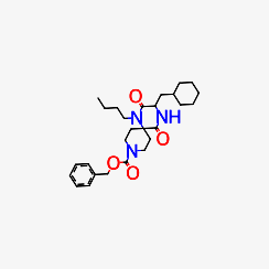 CCCCN1C(=O)C(CC2CCCCC2)NC(=O)C12CCN(C(=O)OCc1ccccc1)CC2